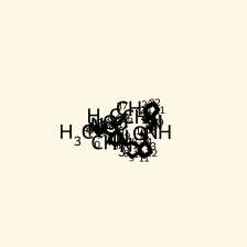 Cc1c(-c2ccc(N3CCc4cccc(C(=O)Nc5nc6ccccc6s5)c4C3)nc2C(=O)OC(C)(C)C)cnn1C